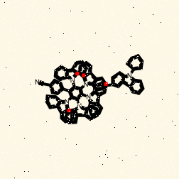 N#Cc1ccc(-c2c(-n3c4ccccc4c4ccccc43)c(-n3c4ccccc4c4ccccc43)c(-n3c4ccccc4c4cc(-c5ccc6c(c5)c5ccccc5n6-c5ccccc5)ccc43)c(-n3c4ccccc4c4ccccc43)c2-n2c3ccccc3c3ccccc32)cc1